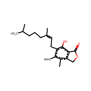 COc1c(C)c2c(c(O)c1CC=C(C)CCCC(C)C(=O)O)C(=O)OC2